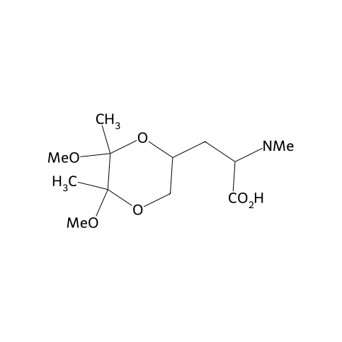 CNC(CC1COC(C)(OC)C(C)(OC)O1)C(=O)O